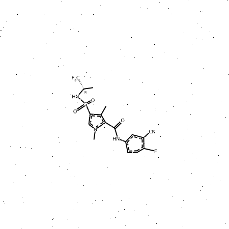 Cc1c(S(=O)(=O)N[C@@H](C)C(F)(F)F)cn(C)c1C(=O)Nc1ccc(F)c(C#N)c1